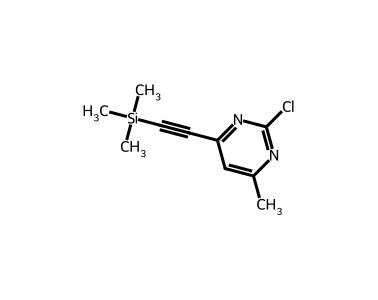 Cc1cc(C#C[Si](C)(C)C)nc(Cl)n1